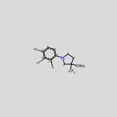 COC1(C(F)(F)F)CCN(c2ccc(F)c(F)c2C)C1